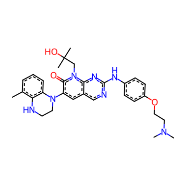 Cc1cccc2c1NCCN2c1cc2cnc(Nc3ccc(OCCN(C)C)cc3)nc2n(CC(C)(C)O)c1=O